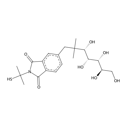 CC(C)(Cc1ccc2c(c1)C(=O)N(C(C)(C)S)C2=O)[C@H](O)[C@@H](O)[C@H](O)[C@H](O)CO